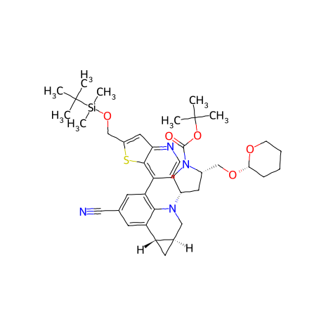 CC(C)(C)OC(=O)N1C[C@@H](N2C[C@H]3C[C@@H]3c3cc(C#N)cc(-c4ccnc5cc(CO[Si](C)(C)C(C)(C)C)sc45)c32)C[C@H]1CO[C@H]1CCCCO1